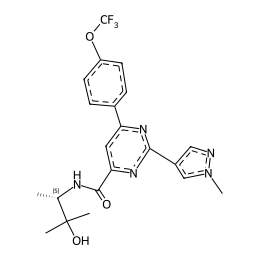 C[C@H](NC(=O)c1cc(-c2ccc(OC(F)(F)F)cc2)nc(-c2cnn(C)c2)n1)C(C)(C)O